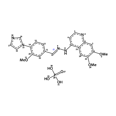 COc1cc2nccc(N/N=C/c3ccc(-n4ccnc4)c(OC)c3)c2cc1OC.O=P(O)(O)O